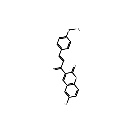 COc1ccc(C=CC(=O)c2cc3cc(Cl)ccc3sc2=O)cc1